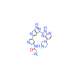 CN(C)CC(=O)Nc1cncc(-c2cc3c(-c4nc5c(N6CCN(C)CC6)ccnc5[nH]4)n[nH]c3cn2)c1